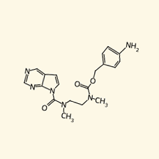 CN(CCN(C)C(=O)n1ccc2cncnc21)C(=O)OCc1ccc(N)cc1